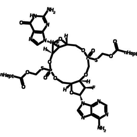 CCCCCCCC(=O)OCSP1(=O)CO[C@H]2[C@@H](F)[C@H](n3cnc4c(N)ncnc43)O[C@@H]2COP(=O)(SCOC(=O)CCCCCCC)O[C@@H]2[C@H](F)[C@@H](CO1)O[C@H]2n1cnc2c(=O)[nH]c(N)nc21